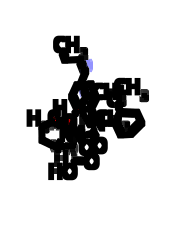 C=C/C=C\C=C(/C)CN(C)C(=O)N1[C@H]2CC[C@@H]1[C@@H](C(=O)O)N(C(=O)N(c1ccccc1OC)c1ccccc1OC)C2